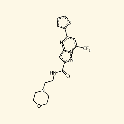 O=C(NCCN1CCOCC1)c1cc2nc(-c3cccs3)cc(C(F)(F)F)n2n1